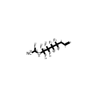 C=CCC(F)(F)C(F)(F)C(F)(F)C(F)(F)OC(F)C#N